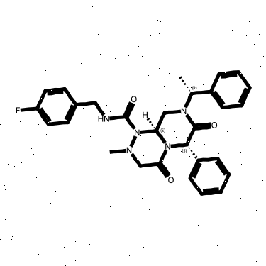 C[C@H](c1ccccc1)N1C[C@H]2N(C(=O)CN(C)N2C(=O)NCc2ccc(F)cc2)[C@@H](c2ccccc2)C1=O